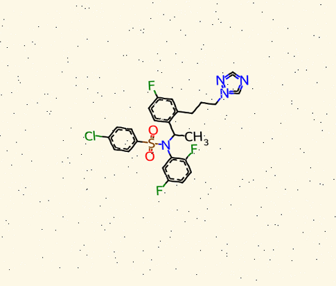 CC(c1ccc(F)cc1CCCn1cncn1)N(c1cc(F)ccc1F)S(=O)(=O)c1ccc(Cl)cc1